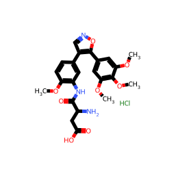 COc1ccc(-c2cnoc2-c2cc(OC)c(OC)c(OC)c2)cc1NC(=O)C(N)CC(=O)O.Cl